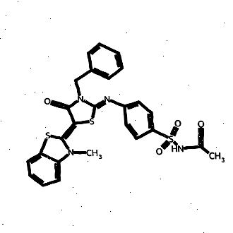 CC(=O)NS(=O)(=O)c1ccc(N=C2SC(=C3Sc4ccccc4N3C)C(=O)N2Cc2ccccc2)cc1